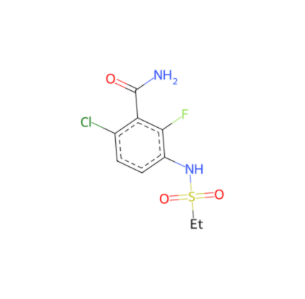 CCS(=O)(=O)Nc1ccc(Cl)c(C(N)=O)c1F